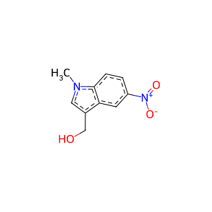 Cn1cc(CO)c2cc([N+](=O)[O-])ccc21